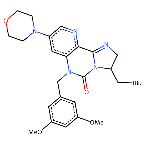 COc1cc(CN2C(=O)N3C(=NCC3CC(C)(C)C)c3ncc(N4CCOCC4)cc32)cc(OC)c1